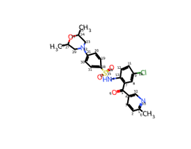 Cc1ccc(C(=O)c2cc(Cl)ccc2NS(=O)(=O)c2ccc(N3CC(C)OC(C)C3)cc2)cn1